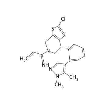 C=CC(=N)N1Cc2sc(Cl)cc2[C@H](c2ccccc2-c2cnn(C)c2C)C1